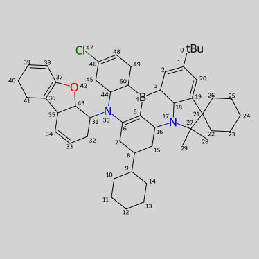 CC(C)(C)C1=CC2B3C4=C(CC(C5CCCCC5)CC4N4C2C(=C1)C1(CCCCC1)C4(C)C)N(C1CC=CC2C4=C(C=CCC4)OC21)C1CC(Cl)=CCC31